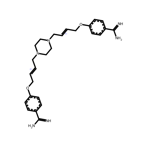 N=C(N)c1ccc(OC/C=C/CN2CCN(C/C=C/COc3ccc(C(=N)N)cc3)CC2)cc1